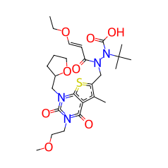 CCOC=CC(=O)N(Cc1sc2c(c1C)c(=O)n(CCOC)c(=O)n2CC1CCCO1)N(C(=O)O)C(C)(C)C